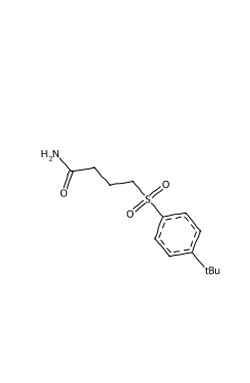 CC(C)(C)c1ccc(S(=O)(=O)CCCC(N)=O)cc1